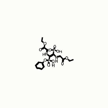 CCOC(=O)CNC(=C(NCC(=O)OCC)P(=O)(O)Oc1ccccc1)P(=O)(O)O